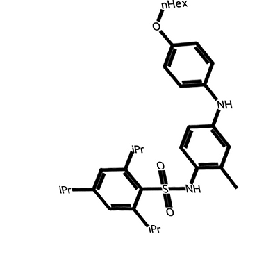 CCCCCCOc1ccc(Nc2ccc(NS(=O)(=O)c3c(C(C)C)cc(C(C)C)cc3C(C)C)c(C)c2)cc1